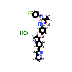 Cl.O=C(Nc1ccc(F)cc1)C1(C(=O)Nc2ccc(Oc3ccnc4cc(-c5cc6n(n5)CCC6)ccc34)cc2)CC1